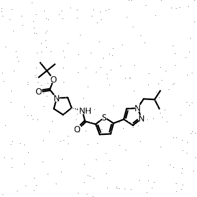 CC(C)Cn1cc(-c2ccc(C(=O)N[C@@H]3CCN(C(=O)OC(C)(C)C)C3)s2)cn1